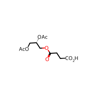 CC(=O)OC[C@@H](COC(=O)CCC(=O)O)OC(C)=O